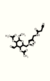 COC1OC(Cn2cc(CNC(=O)CC#N)nn2)C(OC(C)=O)C(C=O)C1OC(C)=O